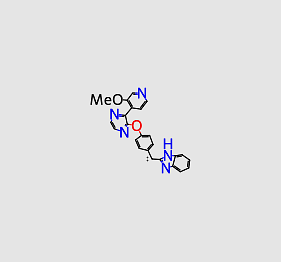 COc1cnccc1-c1nccnc1Oc1ccc([C]c2nc3ccccc3[nH]2)cc1